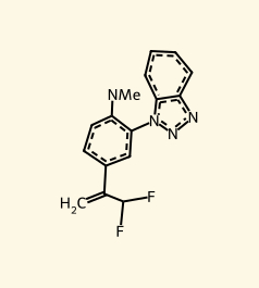 C=C(c1ccc(NC)c(-n2nnc3ccccc32)c1)C(F)F